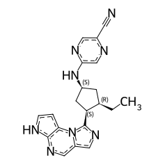 CC[C@@H]1C[C@H](Nc2cnc(C#N)cn2)C[C@@H]1c1ncc2cnc3[nH]ccc3n12